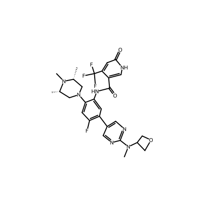 C[C@@H]1CN(c2cc(F)c(-c3cnc(N(C)C4COC4)nc3)cc2NC(=O)c2c[nH]c(=O)cc2C(F)(F)F)C[C@H](C)N1C